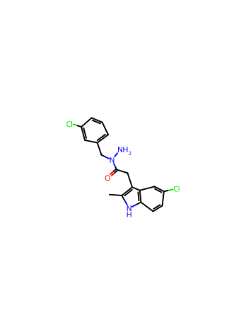 Cc1[nH]c2ccc(Cl)cc2c1CC(=O)N(N)Cc1cccc(Cl)c1